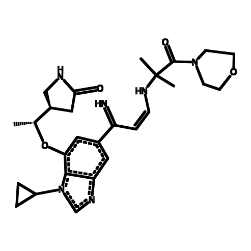 C[C@@H](Oc1cc(C(=N)/C=C\NC(C)(C)C(=O)N2CCOCC2)cc2ncn(C3CC3)c12)[C@H]1CNC(=O)C1